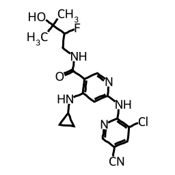 CC(C)(O)C(F)CNC(=O)c1cnc(Nc2ncc(C#N)cc2Cl)cc1NC1CC1